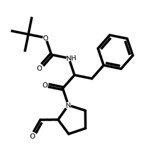 CC(C)(C)OC(=O)NC(Cc1ccccc1)C(=O)N1CCCC1C=O